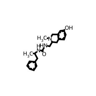 CC(Cc1ccccc1)NC(=O)NCC1Cc2ccc(O)cc2CN1C